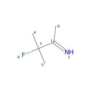 CC(=N)C(C)(C)F